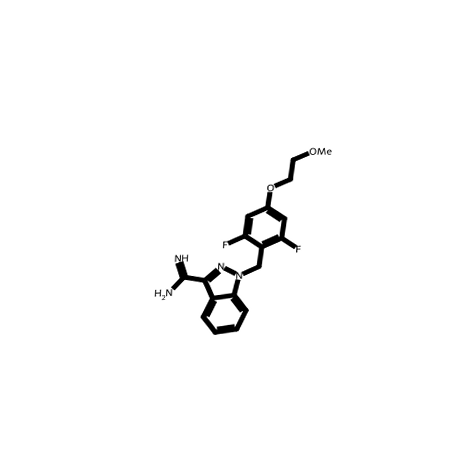 COCCOc1cc(F)c(Cn2nc(C(=N)N)c3ccccc32)c(F)c1